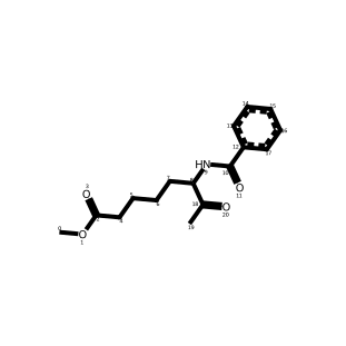 COC(=O)CCCCC(NC(=O)c1ccccc1)C(C)=O